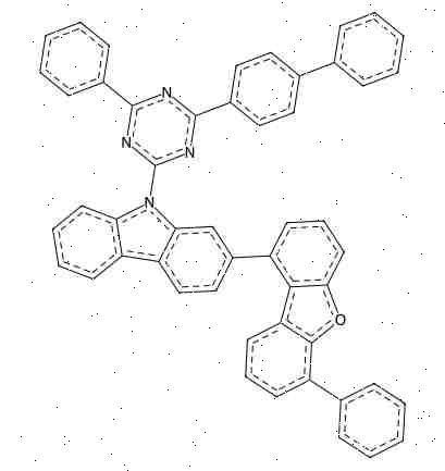 c1ccc(-c2ccc(-c3nc(-c4ccccc4)nc(-n4c5ccccc5c5ccc(-c6cccc7oc8c(-c9ccccc9)cccc8c67)cc54)n3)cc2)cc1